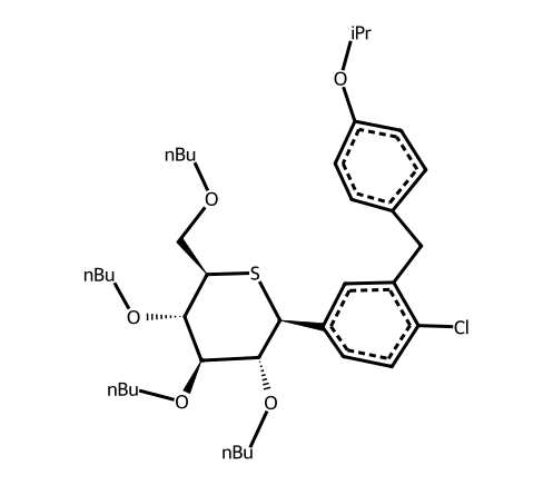 CCCCOC[C@H]1S[C@@H](c2ccc(Cl)c(Cc3ccc(OC(C)C)cc3)c2)[C@H](OCCCC)[C@@H](OCCCC)[C@@H]1OCCCC